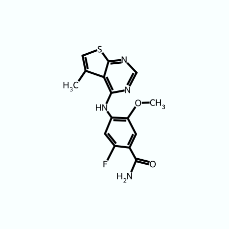 COc1cc(C(N)=O)c(F)cc1Nc1ncnc2scc(C)c12